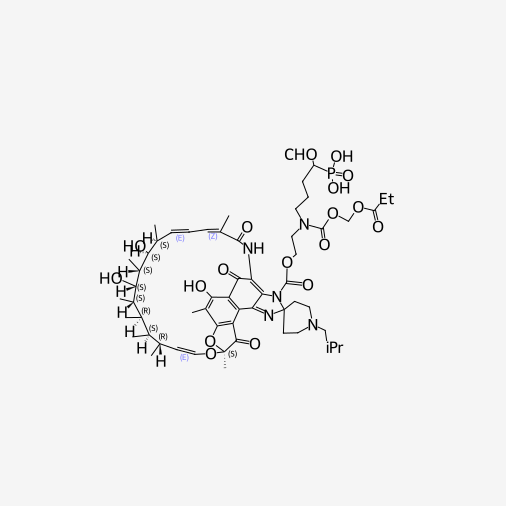 CCC(=O)OCOC(=O)N(CCCC(C=O)P(=O)(O)O)CCOC(=O)N1C2=C3NC(=O)/C(C)=C\C=C\[C@H](C)[C@H](O)[C@@H](C)[C@@H](O)[C@@H](C)[C@H](C)[C@H](C)[C@@H](C)/C=C/O[C@@]4(C)Oc5c(C)c(O)c(c(c5C4=O)C2=NC12CCN(CC(C)C)CC2)C3=O